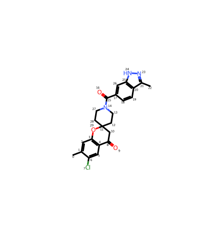 Cc1cc2c(cc1Cl)C(=O)CC1(CCN(C(=O)c3ccc4c(C)n[nH]c4c3)CC1)O2